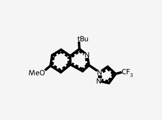 COc1ccc2c(C(C)(C)C)nc(-n3cc(C(F)(F)F)cn3)cc2c1